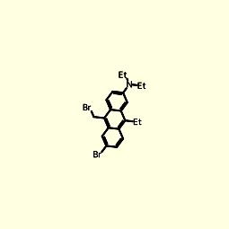 CCc1c2cc(N(CC)CC)ccc2c(CBr)c2cc(Br)ccc12